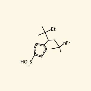 CCCC(C)(C)CC(c1ccc(S(=O)(=O)O)cc1)C(C)(C)CC